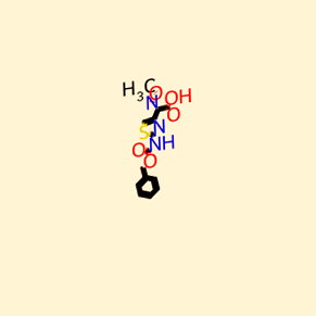 CON=C(C(=O)O)c1csc(NC(=O)OCc2ccccc2)n1